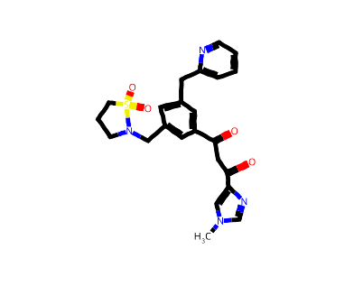 Cn1cnc(C(=O)CC(=O)c2cc(Cc3ccccn3)cc(CN3CCCS3(=O)=O)c2)c1